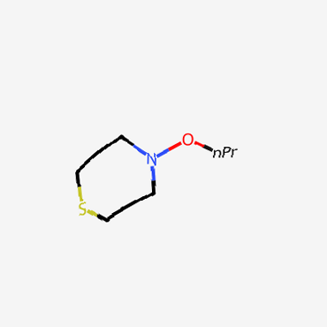 CCCON1CCSCC1